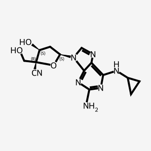 N#C[C@]1(CO)O[C@H](n2cnc3c(NC4CC4)nc(N)nc32)C[C@@H]1O